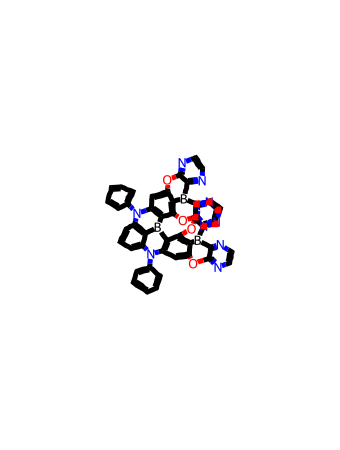 c1ccc(N2c3cccc4c3B(c3c2cc2c5c3Oc3nccnc3B5c3nccnc3O2)c2c(cc3c5c2Oc2nccnc2B5c2nccnc2O3)N4c2ccccc2)cc1